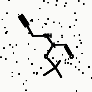 C#CCNN(C=O)OC(C)(C)C